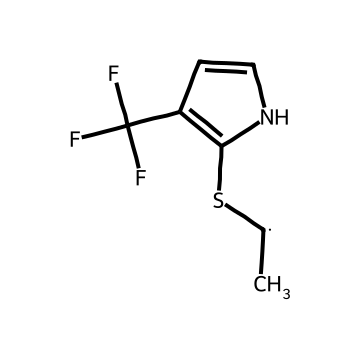 C[CH]Sc1[nH]ccc1C(F)(F)F